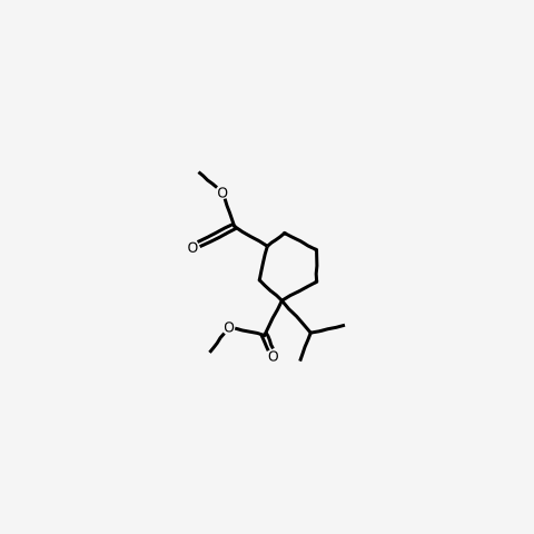 COC(=O)C1CCCC(C(=O)OC)(C(C)C)C1